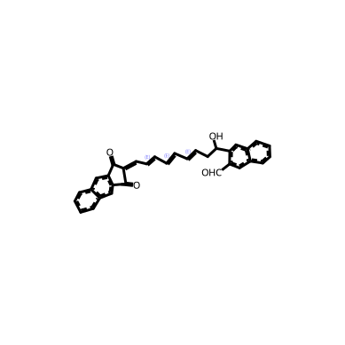 O=Cc1cc2ccccc2cc1C(O)C/C=C/C=C/C=C/C=C1C(=O)c2cc3ccccc3cc2C1=O